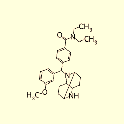 CCN(CC)C(=O)c1ccc(C(c2cccc(OC)c2)N2C3CCC4NC3CCC42)cc1